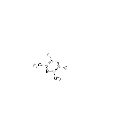 Cc1nc(C)c(Cl)[c]c1Cl